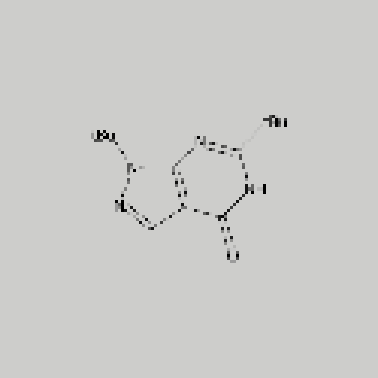 CC(C)(C)c1nc2c(cnn2C(C)(C)C)c(=O)[nH]1